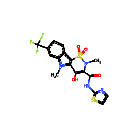 CN1C(C(=O)Nc2nccs2)=C(O)c2c(c3ccc(C(F)(F)F)cc3n2C)S1(=O)=O